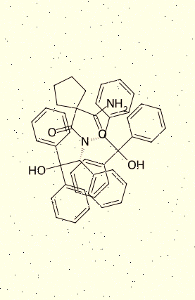 NC(=O)C1(C(=O)N([C@H](c2ccccc2)C(O)(c2ccccc2)c2ccccc2)[C@H](c2ccccc2)C(O)(c2ccccc2)c2ccccc2)CCCC1